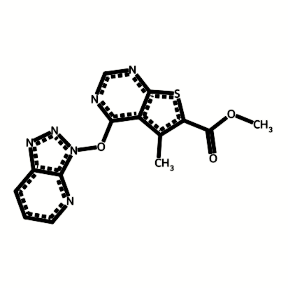 COC(=O)c1sc2ncnc(On3nnc4cccnc43)c2c1C